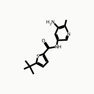 Cc1ncc(NC(=O)c2ccc(C(C)(C)C)s2)cc1N